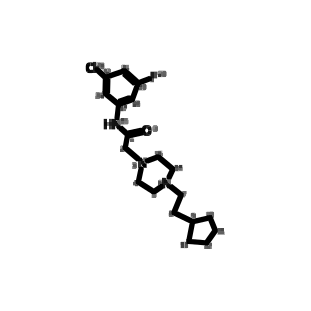 O=C(CN1CCN(CCC2CCCC2)CC1)Nc1cc(F)cc(Cl)c1